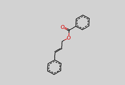 O=C(OC/C=C/c1ccccc1)c1ccccc1